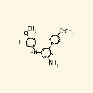 COc1ccc(-c2cc(Nc3ccc(OC)c(F)c3)nc(N)n2)cc1